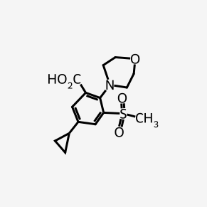 CS(=O)(=O)c1cc(C2CC2)cc(C(=O)O)c1N1CCOCC1